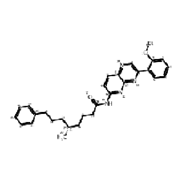 CCOc1ccccc1-c1cnc2ccc(NC(=O)CCC[C@H](C)CCCc3ccccc3)nc2n1